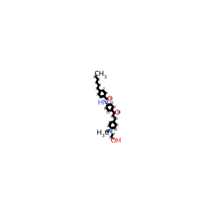 CCCCCCc1ccc(C(=O)Nc2ccc(C(=O)/C=C/c3ccc(N(C)CCO)cc3)cc2)cc1